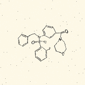 O=C(c1cccc(N(Cc2ccccc2)S(=O)(=O)c2ccccc2F)c1)N1CCOCC1